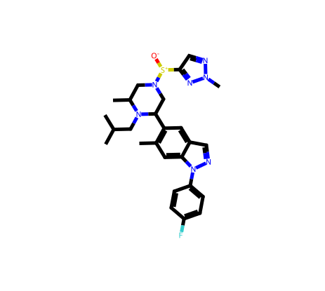 Cc1cc2c(cnn2-c2ccc(F)cc2)cc1C1CN([S+]([O-])c2cnn(C)n2)CC(C)N1CC(C)C